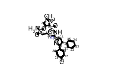 Cn1ccc(S(=O)(=O)N/C(=N\CCS(N)(=O)=O)N2C[C@H](c3ccccc3)C(c3ccc(Cl)cc3)=N2)n1